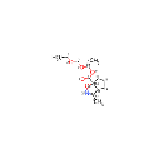 CCOCOC(C)OC(=O)C12CCCC1C(C)=NO2